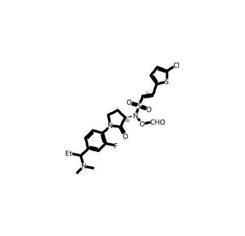 CCC(c1ccc(N2CC[C@H](N(OC=O)S(=O)(=O)/C=C/c3ccc(Cl)s3)C2=O)c(F)c1)N(C)C